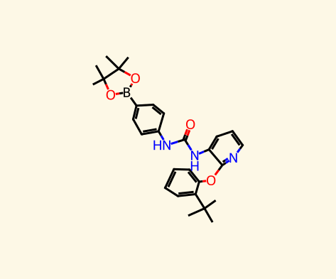 CC(C)(C)c1ccccc1Oc1ncccc1NC(=O)Nc1ccc(B2OC(C)(C)C(C)(C)O2)cc1